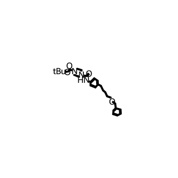 CC(C)(C)OC(=O)N1CCN(C(=O)Nc2ccc(CCCCCOCc3ccccc3)cc2)CC1